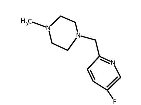 CN1CCN(Cc2ccc(F)cn2)CC1